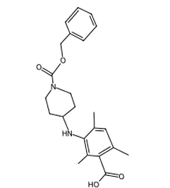 Cc1cc(C)c(C(=O)O)c(C)c1NC1CCN(C(=O)OCc2ccccc2)CC1